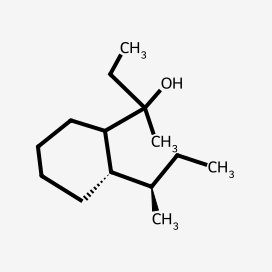 CC[C@@H](C)[C@@H]1CCCCC1C(C)(O)CC